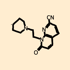 N#Cc1ccc2ccc(=O)n(CCN3CC[CH]CC3)c2n1